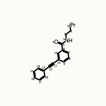 CC(C)CCNC(=O)c1cccc(C#Cc2ccccc2)c1